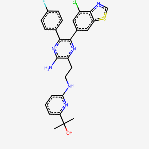 CC(C)(O)c1cccc(NCCc2nc(-c3cc(Cl)c4ncsc4c3)c(-c3ccc(F)cc3)nc2N)n1